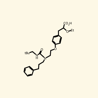 CCOC(Cc1ccc(OCCN(CCCc2ccccc2)C(=O)NCC(C)(C)C)cc1)C(=O)O